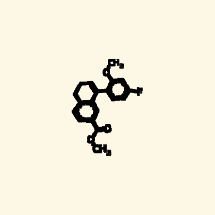 COC(=O)c1ccc2c(c1)C(c1ccc(F)cc1OC)=CCC2